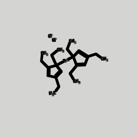 CCC1=C[C](CC)([Zr+2][C]2(CC)C=C(CC)C=C2CC)C(CC)=C1.[Cl-].[Cl-]